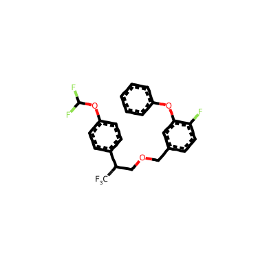 Fc1ccc(COCC(c2ccc(OC(F)F)cc2)C(F)(F)F)cc1Oc1ccccc1